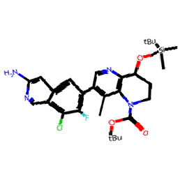 Cc1c(-c2cc3cc(N)ncc3c(Cl)c2F)cnc2c1N(C(=O)OC(C)(C)C)CCC2O[Si](C)(C)C(C)(C)C